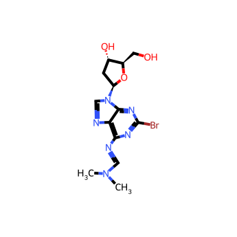 CN(C)/C=N/c1nc(Br)nc2c1ncn2[C@H]1C[C@H](O)[C@@H](CO)O1